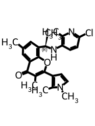 Cc1cc([C@@H](C)Nc2ccc(Cl)nc2C)c2oc(-c3ccn(C)c3C)c(C)c(=O)c2c1